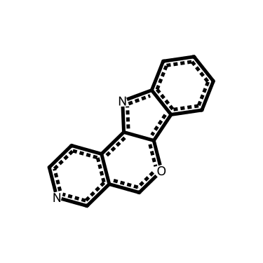 c1ccc2c3occ4cnccc4c-3nc2c1